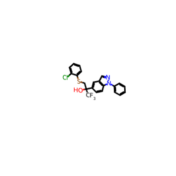 OC(CSc1ccccc1Cl)(c1ccc2c(cnn2-c2ccccc2)c1)C(F)(F)F